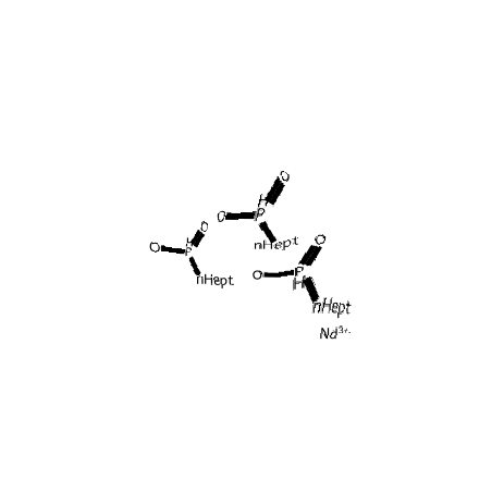 CCCCCCC[PH](=O)[O-].CCCCCCC[PH](=O)[O-].CCCCCCC[PH](=O)[O-].[Nd+3]